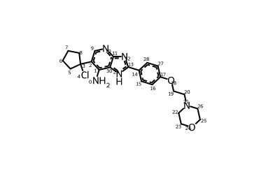 Nc1c(C2(Cl)CCCC2)cnc2nc(-c3ccc(OCCN4CCOCC4)cc3)[nH]c12